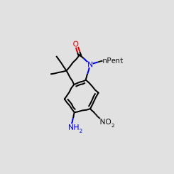 CCCCCN1C(=O)C(C)(C)c2cc(N)c([N+](=O)[O-])cc21